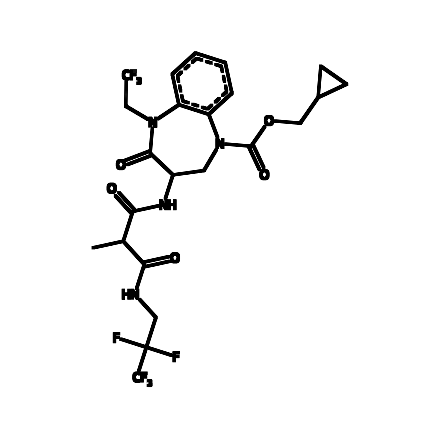 CC(C(=O)NCC(F)(F)C(F)(F)F)C(=O)NC1CN(C(=O)OCC2CC2)c2ccccc2N(CC(F)(F)F)C1=O